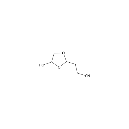 N#CCCC1OCC(O)O1